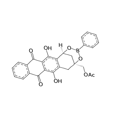 CC(=O)OC[C@]12Cc3c(O)c4c(c(O)c3[C@H](C1)OB(c1ccccc1)O2)C(=O)c1ccccc1C4=O